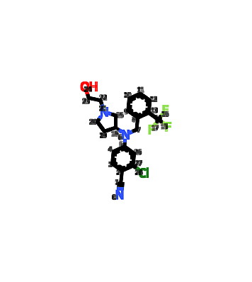 N#Cc1ccc(N(Cc2ccccc2C(F)(F)F)[C@H]2CCN(CCO)C2)cc1Cl